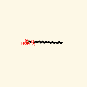 CCCCCCCCC=CCCCCCCCC(=O)OCCS(=O)(=O)O